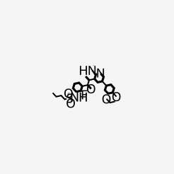 C=C(C(=O)c1cccc(NS(=O)(=O)CCCC)c1F)c1cc(-c2ccc3c(c2)OCCO3)cnc1NC